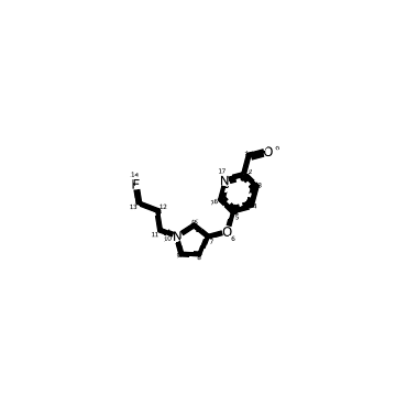 O=Cc1ccc(OC2CCN(CCCF)C2)cn1